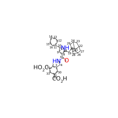 O=C(O)c1cc(CNC(=O)c2cc(-c3ccccc3)[nH]c2CC23CC4CC(CC(C4)C2)C3)cc(C(=O)O)c1